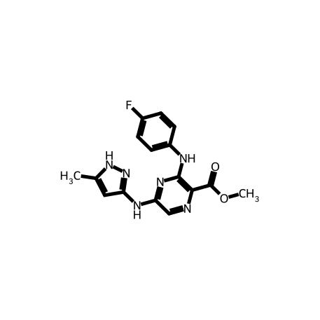 COC(=O)c1ncc(Nc2cc(C)[nH]n2)nc1Nc1ccc(F)cc1